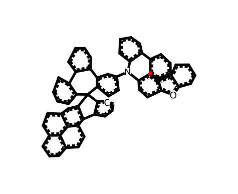 c1ccc(-c2ccccc2N(c2ccc3c(c2)-c2ccccc2-c2ccccc2C32c3ccccc3-c3c2cc2ccc4cccc5ccc3c2c45)c2ccc3oc4ccccc4c3c2)cc1